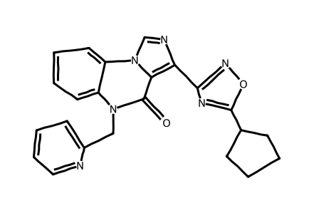 O=c1c2c(-c3noc(C4CCCC4)n3)ncn2c2ccccc2n1Cc1ccccn1